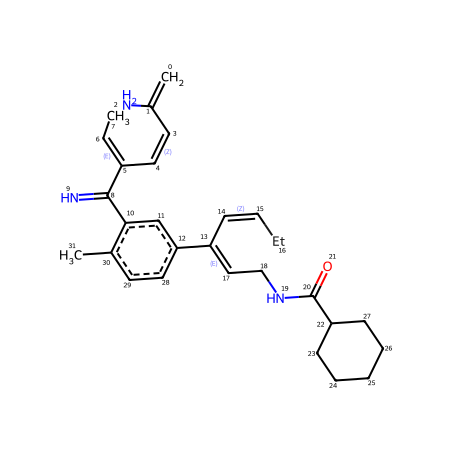 C=C(N)/C=C\C(=C/C)C(=N)c1cc(C(/C=C\CC)=C/CNC(=O)C2CCCCC2)ccc1C